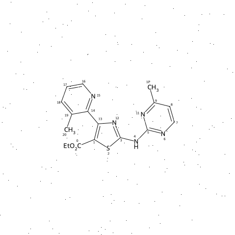 CCOC(=O)c1sc(Nc2nccc(C)n2)nc1-c1ncccc1C